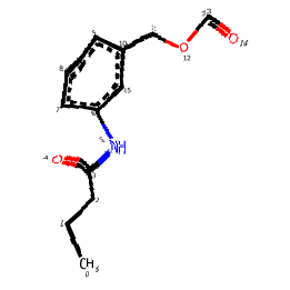 CCCC(=O)Nc1cccc(COC=O)c1